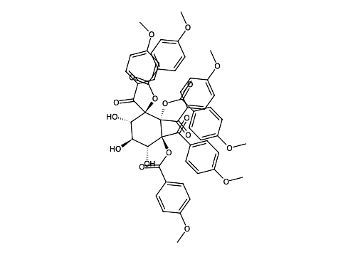 COc1ccc(C(=O)O[C@@]2(C(=O)c3ccc(OC)cc3)[C@@](OC(=O)c3ccc(OC)cc3)(C(=O)c3ccc(OC)cc3)[C@@H](O)[C@H](O)[C@@H](O)[C@@]2(OC(=O)c2ccc(OC)cc2)C(=O)c2ccc(OC)cc2)cc1